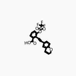 O=C(O)c1cccc(OS(=O)(=O)C(F)(F)F)c1C#Cc1ccc2c(c1)C=CCO2